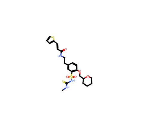 CNC(=S)NS(=O)(=O)c1cc(CCNC(=O)C=Cc2cccs2)ccc1OCC1CCCCO1